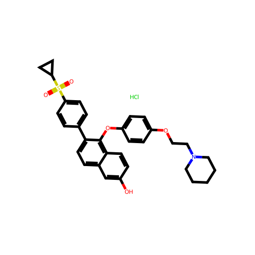 Cl.O=S(=O)(c1ccc(-c2ccc3cc(O)ccc3c2Oc2ccc(OCCN3CCCCC3)cc2)cc1)C1CC1